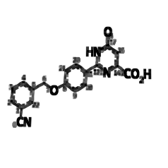 N#Cc1cccc(COc2ccc(-c3nc(C(=O)O)cc(=O)[nH]3)cc2)c1